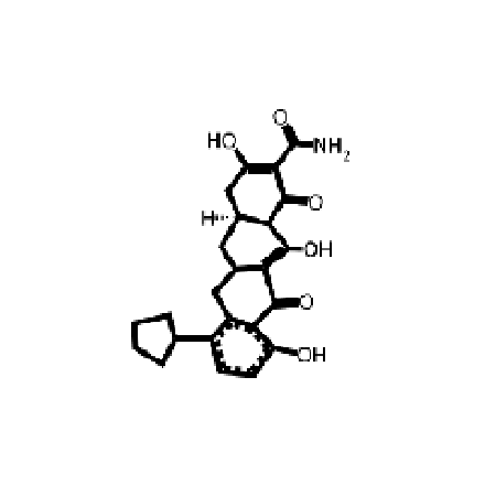 NC(=O)C1=C(O)C[C@@H]2CC3Cc4c(C5CCCC5)ccc(O)c4C(=O)C3=C(O)C2C1=O